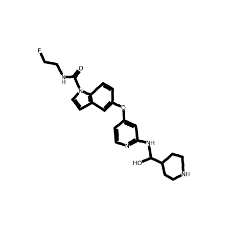 O=C(NCCF)n1ccc2cc(Oc3ccnc(NC(O)C4CCNCC4)c3)ccc21